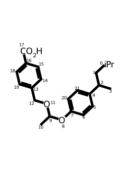 CC(C)CC(C)c1ccc(OC(C)OCc2ccc(C(=O)O)cc2)cc1